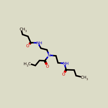 CCCC(=O)NCCN(CCNC(=O)CCC)C(=O)CCC